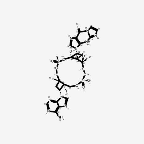 C[P@]1(=O)OC[C@H]2C[C@@H](n3cnc4c(N)ncnc43)[C@@H]2CO[P@@](=O)(S)OC[C@H]2O[C@@H](n3cnc4c(=O)n5ccnc5[nH]c43)[C@H](O1)[C@@H]2F